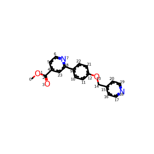 COC(=O)c1ccnc(-c2ccc(OCc3ccncc3)cc2)c1